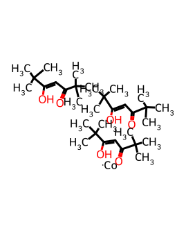 CC(C)(C)C(=O)C=C(O)C(C)(C)C.CC(C)(C)C(=O)C=C(O)C(C)(C)C.CC(C)(C)C(=O)C=C(O)C(C)(C)C.[Co]